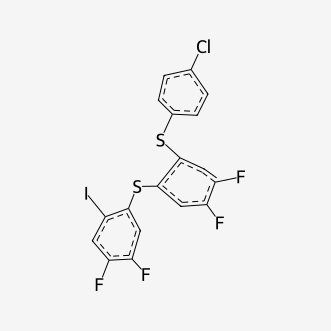 Fc1cc(I)c(Sc2cc(F)c(F)cc2Sc2ccc(Cl)cc2)cc1F